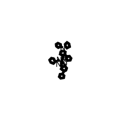 c1ccc(-c2ccc3oc4c(-n5c6ccccc6c6cc(N(c7ccccc7)c7ccccc7)ccc65)nc(-c5ccccc5)nc4c3c2)cc1